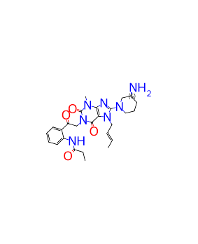 CC=CCn1c(N2CCC[C@H](N)C2)nc2c1c(=O)n(CC(=O)c1ccccc1NC(=O)CC)c(=O)n2C